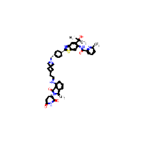 C=C1c2cccc(NCCC3CC4(C3)CN(C[C@H]3CC[C@H](c5nc6cc(C(C)(C)O)c(NC(=O)c7cccc(C(F)(F)F)n7)cc6s5)CC3)C4)c2C(=O)N1[C@H]1CCC(=O)NC1=O